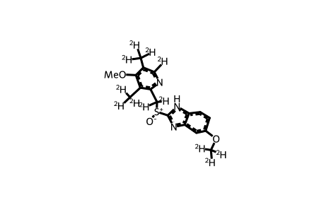 [2H]c1nc(C([2H])([2H])[S+]([O-])c2nc3cc(OC([2H])([2H])[2H])ccc3[nH]2)c(C([2H])([2H])[2H])c(OC)c1C([2H])([2H])[2H]